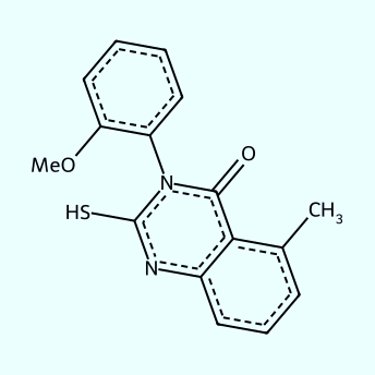 COc1ccccc1-n1c(S)nc2cccc(C)c2c1=O